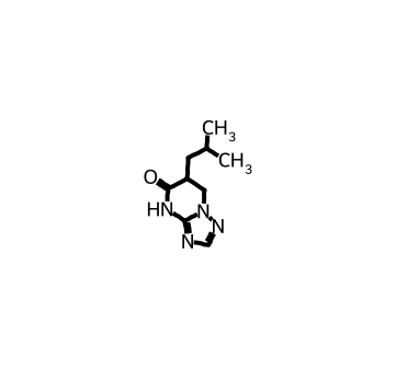 CC(C)CC1Cn2ncnc2NC1=O